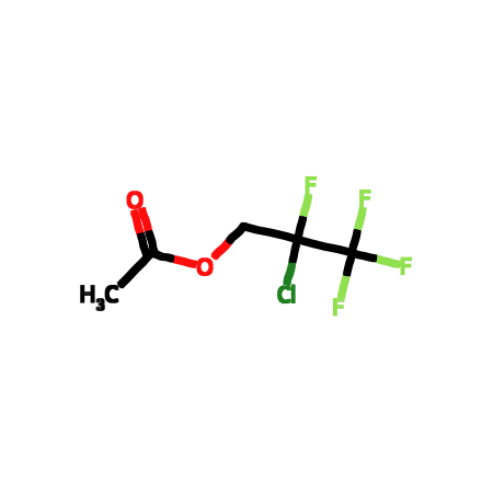 CC(=O)OCC(F)(Cl)C(F)(F)F